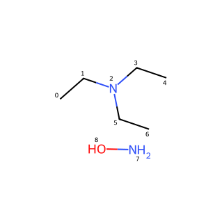 CCN(CC)CC.NO